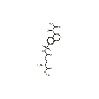 CC(C)(C)OC(=O)[C@@H](N)CCC(=O)NS(=O)(=O)c1ccc2c(N(Cl)C(=N)N)cncc2c1